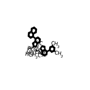 CC1=Cc2c(-c3cc(C)cc(C)c3)ccc(C)c2[CH]1[Zr]([CH3])([CH3])(=[SiH2])[CH]1C(C(C)C)=Cc2c(-c3cccc4ccccc34)cccc21.Cl.Cl